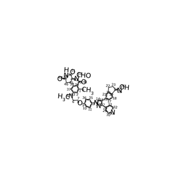 Cc1cc(N(C)CCOc2ccc(-n3cc(-c4ccc5c(c4)CC/C5=N\O)c(-c4ccncc4)n3)cc2)ccc1C(=O)N(C=O)C1CCC(=O)NC1=O